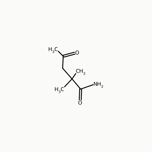 CC(=O)CC(C)(C)C(N)=O